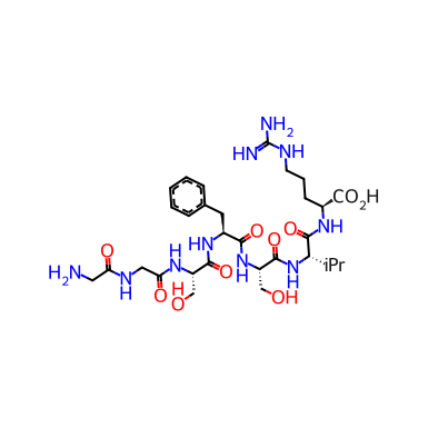 CC(C)[C@H](NC(=O)[C@H](CO)NC(=O)[C@H](Cc1ccccc1)NC(=O)[C@H](CO)NC(=O)CNC(=O)CN)C(=O)N[C@@H](CCCNC(=N)N)C(=O)O